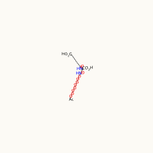 CC(=O)CCOCCOCCOCCOCCOCCOCCOCCOCCNC(=O)CC[C@H](NC(=O)CCCCCCCCCCCCCCC(=O)O)C(=O)O